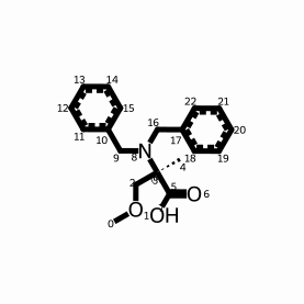 COC[C@](C)(C(=O)O)N(Cc1ccccc1)Cc1ccccc1